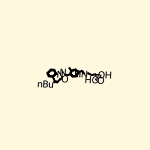 CCCCC(=Cc1nnc(-c2ccc(CNCCCP(=O)(O)O)cc2C)o1)c1ccccc1